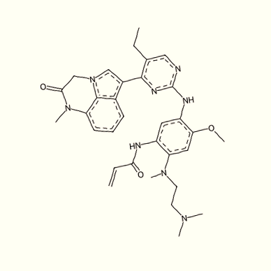 C=CC(=O)Nc1cc(Nc2ncc(CC)c(-c3cn4c5c(cccc35)N(C)C(=O)C4)n2)c(OC)cc1N(C)CCN(C)C